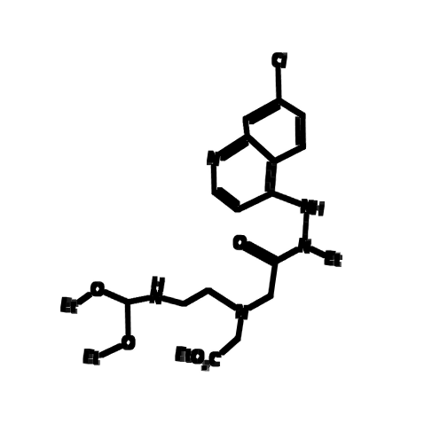 CCOC(=O)CN(CCNC(OCC)OCC)CC(=O)N(CC)Nc1ccnc2cc(Cl)ccc12